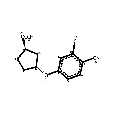 N#Cc1ccc(O[C@@H]2CC[C@@H](C(=O)O)C2)cc1Cl